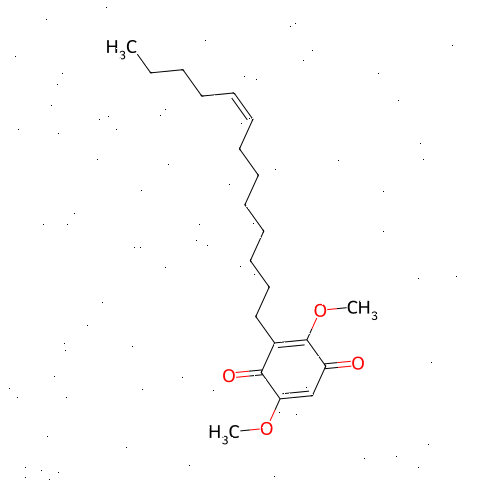 CCCC/C=C\CCCCCCCC1=C(OC)C(=O)C=C(OC)C1=O